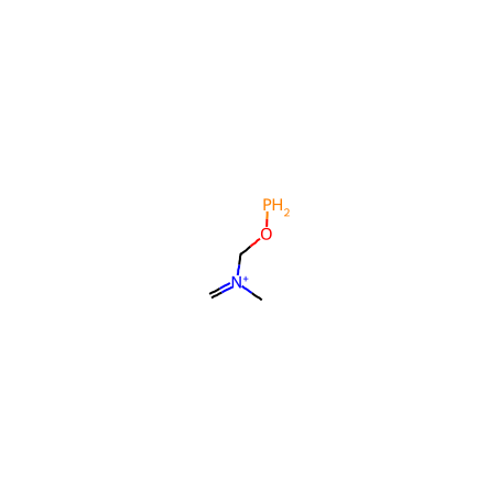 C=[N+](C)COP